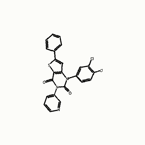 O=c1c2sc(-c3ccccc3)cc2n(-c2ccc(Cl)c(Cl)c2)c(=O)n1-c1cccnc1